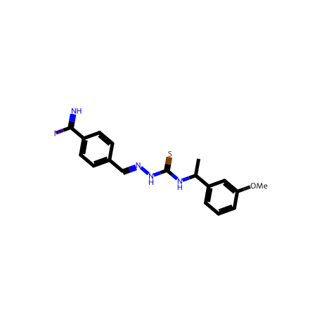 COc1cccc(C(C)NC(=S)N/N=C/c2ccc(C(=N)I)cc2)c1